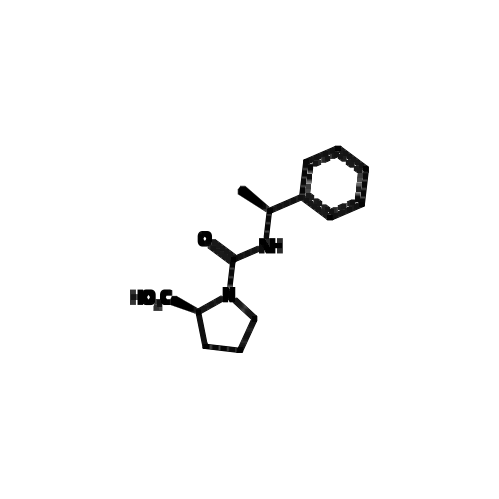 C[C@H](NC(=O)N1CCC[C@H]1C(=O)O)c1ccccc1